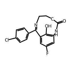 O=C1CCC/N=C(/c2ccc(Cl)cc2)c2cc(F)cc(c2O)N1